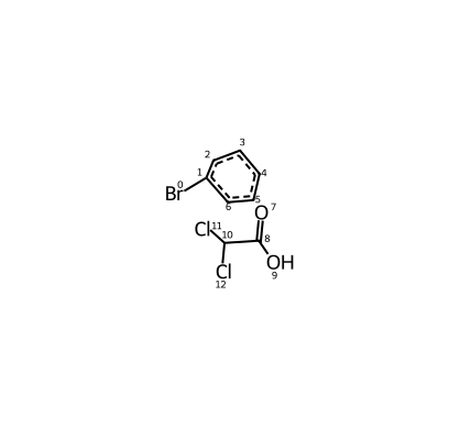 Brc1ccccc1.O=C(O)C(Cl)Cl